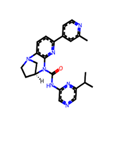 Cc1cc(-c2ccc3c(n2)N(C(=O)Nc2cncc(C(C)C)n2)[C@H]2CCN3C2)ccn1